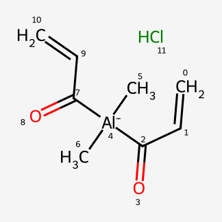 C=C[C](=O)[Al-]([CH3])([CH3])[C](=O)C=C.Cl